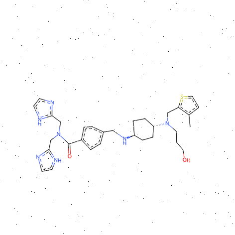 Cc1ccsc1CN(CCCO)[C@H]1CC[C@H](NCc2ccc(C(=O)N(Cc3ncc[nH]3)Cc3ncc[nH]3)cc2)CC1